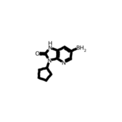 Bc1cnc2c(c1)[nH]c(=O)n2C1CCCC1